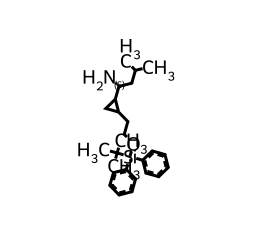 CC(C)C[C@H](N)C1CC1CCO[Si](c1ccccc1)(c1ccccc1)C(C)(C)C